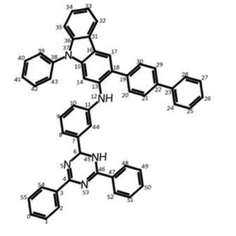 c1ccc(C2=NC(c3cccc(Nc4cc5c(cc4-c4ccc(-c6ccccc6)cc4)c4ccccc4n5-c4ccccc4)c3)NC(c3ccccc3)=N2)cc1